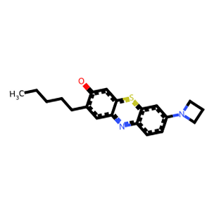 CCCCCc1cc2nc3ccc(N4CCC4)cc3sc-2cc1=O